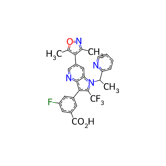 Cc1noc(C)c1-c1cnc2c(-c3cc(F)cc(C(=O)O)c3)c(C(F)(F)F)n(C(C)c3ccccn3)c2c1